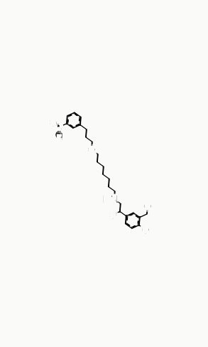 O=[SH](=O)c1cccc(CCCOCCCCCCCNCC(O)c2ccc(O)c(CO)c2)c1